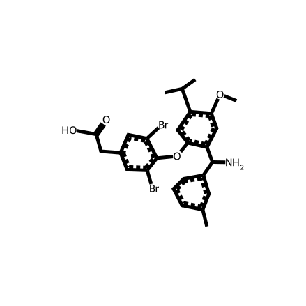 COc1cc(C(N)c2cccc(C)c2)c(Oc2c(Br)cc(CC(=O)O)cc2Br)cc1C(C)C